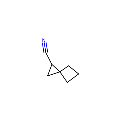 N#CC1CC12CCC2